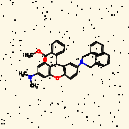 COC(=O)c1ccccc1C1c2ccc(N(C)C)cc2Oc2ccc(N(Cc3ccccc3)Cc3ccccc3)cc21